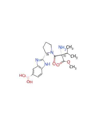 COC(=O)[C@@](N)(C(=O)N1CCC[C@H]1c1nc2cc(B(O)O)ccc2[nH]1)C(C)C